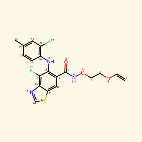 C=COCCONC(=O)c1cc2scnc2c(F)c1Nc1ccc(C)cc1F